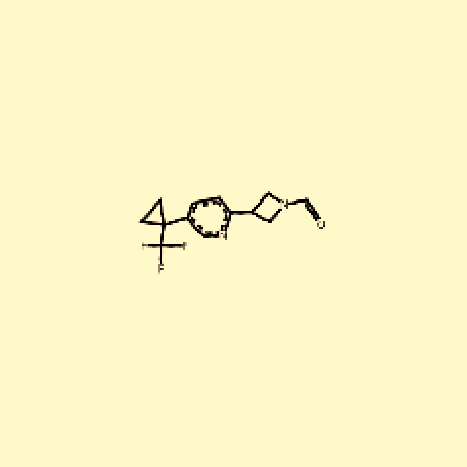 O=CN1CC(c2ccc(C3(C(F)(F)F)CC3)cn2)C1